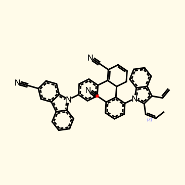 C=Cc1c(/C=C\C)n(-c2cccc(C#N)c2C2CC=CC(C#N)=C2c2ccc(-n3c4ccccc4c4cc(C#N)ccc43)cc2)c2ccccc12